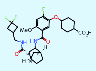 COc1cc(F)c(OC2CCC(C(=O)O)CC2)cc1C(=O)NC1[C@H]2CC[C@H](C2)[C@@H]1C(=O)NCC1CC(F)(F)C1